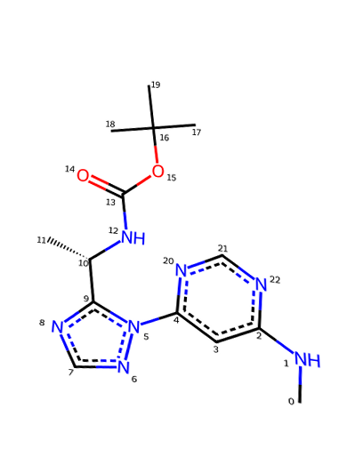 CNc1cc(-n2ncnc2[C@H](C)NC(=O)OC(C)(C)C)ncn1